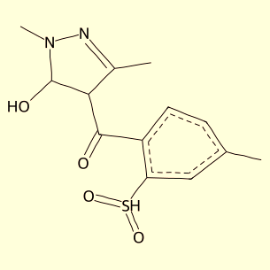 CC1=NN(C)C(O)C1C(=O)c1ccc(C)cc1[SH](=O)=O